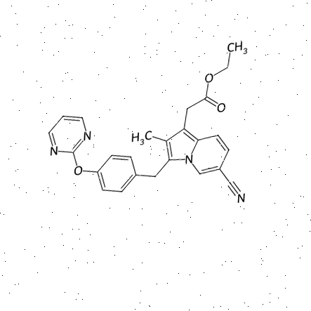 CCOC(=O)Cc1c(C)c(Cc2ccc(Oc3ncccn3)cc2)n2cc(C#N)ccc12